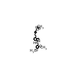 COc1ccc(CNc2nccc3c(CCC45CC(COS(C)(=O)=O)(C4)C5)cccc23)c(OC)c1